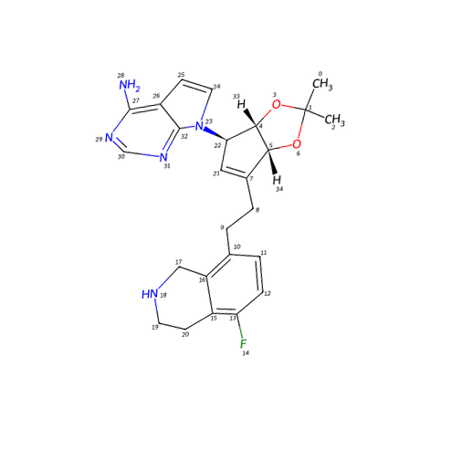 CC1(C)O[C@@H]2[C@H](O1)C(CCc1ccc(F)c3c1CNCC3)=C[C@H]2n1ccc2c(N)ncnc21